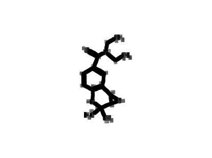 CCN(CC)C(=O)c1ccc2c(c1)C1OC1C(C)(C)O2